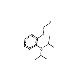 C[CH](C)[Al]([c]1ccccc1CCF)[CH](C)C